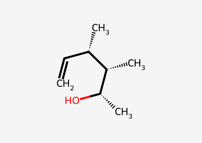 C=C[C@H](C)[C@H](C)[C@H](C)O